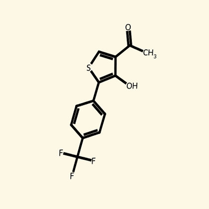 CC(=O)c1csc(-c2ccc(C(F)(F)F)cc2)c1O